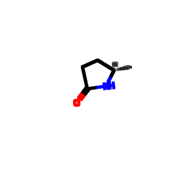 [CH2][C@H]1CCC(=O)N1